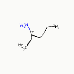 [2H]CC[C@H](N)C(=O)O